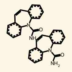 NC(=O)N1c2ccccc2C=Cc2ccccc21.NC(=O)N1c2ccccc2C=Cc2ccccc21